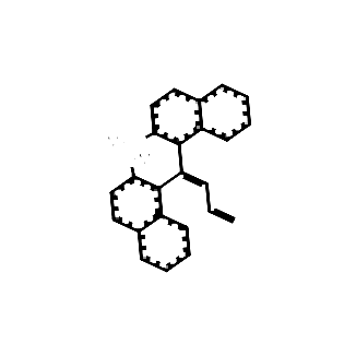 C=CC=C(c1c(OC)ccc2ccccc12)c1c(OC)ccc2ccccc12